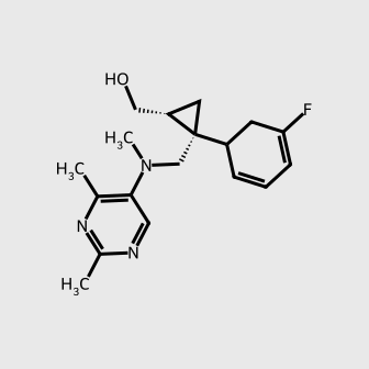 Cc1ncc(N(C)C[C@@]2(C3C=CC=C(F)C3)C[C@H]2CO)c(C)n1